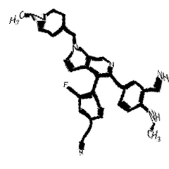 CNc1ccc(-c2ncc3c(ccn3CC3CCN(C)CC3)c2-c2ccc(C#N)cc2F)cc1C=N